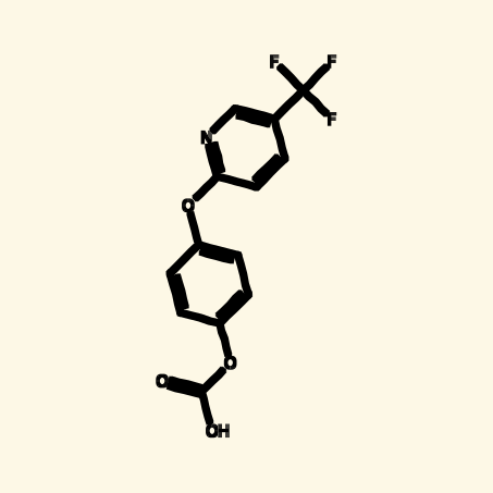 O=C(O)Oc1ccc(Oc2ccc(C(F)(F)F)cn2)cc1